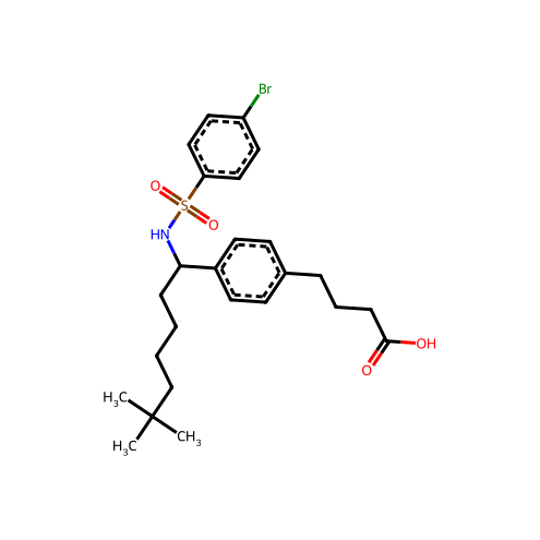 CC(C)(C)CCCCC(NS(=O)(=O)c1ccc(Br)cc1)c1ccc(CCCC(=O)O)cc1